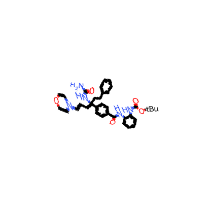 CC(C)(C)OC(=O)Nc1ccccc1NC(=O)c1ccc(C(CCCN2CCOCC2)(CCc2ccccc2)NC(N)=O)cc1